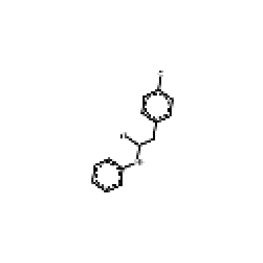 Clc1ccc(CC(Cl)Nc2cc[c]cc2)cc1